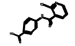 O=C(O)c1ccc(NC(=O)c2cccnc2Cl)cc1